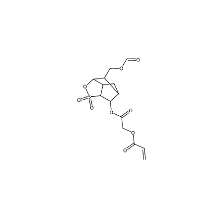 C=CC(=O)OCC(=O)OC1C2CC3C(OS(=O)(=O)C31)C2COC=O